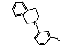 Clc1cccc(N2CCc3ccccc3C2)c1